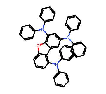 c1ccc(N(c2ccccc2)c2cc(N(c3ccccc3)c3ccccc3)c3oc4cccc(N(c5ccccc5)c5ccccc5)c4c3c2)cc1